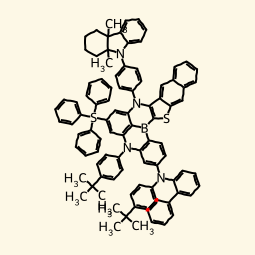 CC(C)(C)c1ccc(N(c2ccc3c(c2)N(c2ccc(C(C)(C)C)cc2)c2cc(S(c4ccccc4)(c4ccccc4)c4ccccc4)cc4c2B3c2sc3cc5ccccc5cc3c2N4c2ccc(N3c4ccccc4C4(C)CCCCC34C)cc2)c2ccccc2-c2ccccc2)cc1